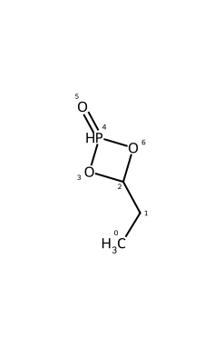 CCC1O[PH](=O)O1